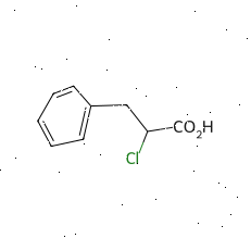 O=C(O)C(Cl)Cc1ccccc1